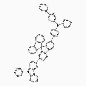 c1ccc(-c2ccc(N(c3ccccc3)c3ccc(-c4ccc5c(c4)C4(c6ccccc6-c6ccccc64)c4cc(-c6ccc7c(c6)c6ccccc6n7-c6ccccc6)ccc4-5)cc3)cc2)cc1